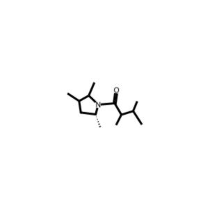 CC(C)C(C)C(=O)N1C(C)C(C)C[C@H]1C